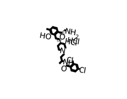 Cc1ccc2c(c1O)C[C@@H](C1CCN(CCC(C)NC(=O)c3ccc(Cl)cc3Cl)CC1)O[C@H]2CN.Cl.Cl